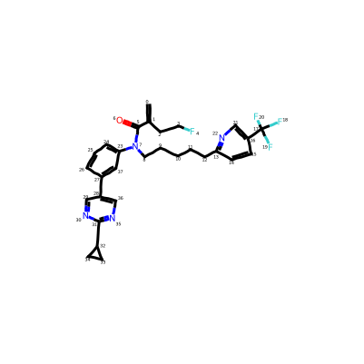 C=C(CCF)C(=O)N(CCCCCc1ccc(C(F)(F)F)cn1)c1cccc(-c2cnc(C3CC3)nc2)c1